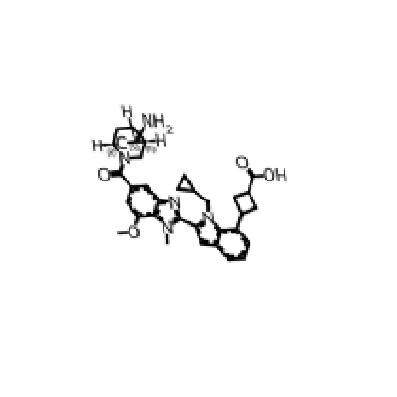 COc1cc(C(=O)N2C[C@H]3CC[C@@H]2C[C@@H]3N)cc2nc(-c3cc4cccc(C5CC(C(=O)O)C5)c4n3CC3CC3)n(C)c12